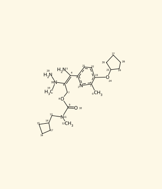 Cc1nc(/C(N)=C(\COC(=O)N(C)CC2CCC2)N(C)N)ccc1OC1CCCC1